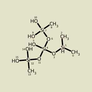 C[SiH](C)O[Si](O)(O[Si](C)(O)O)O[Si](C)(O)O